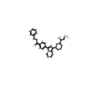 C=CC(=O)C1CCCC(c2cc(-c3ccc(C(=O)CCc4ccccc4)cc3)n3cnccc23)C1